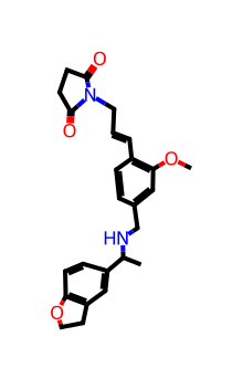 COc1cc(CNC(C)c2ccc3c(c2)CCO3)ccc1C=CCN1C(=O)CCC1=O